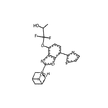 CC(O)C(F)(F)Oc1ccc(-c2nccs2)c2oc(N3CC4CC(C3)N4C(=O)O)nc12